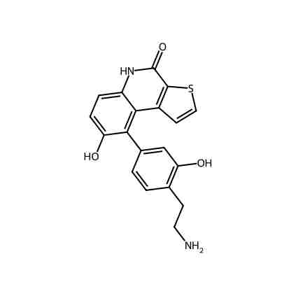 NCCc1ccc(-c2c(O)ccc3[nH]c(=O)c4sccc4c23)cc1O